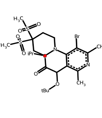 Cc1nc(C)c(C(OC(C)(C)C)C(=O)OC(C)C)c(N2CCC(S(C)(=O)=O)(S(C)(=O)=O)CC2)c1Br